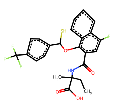 CCC(C)(NC(=O)c1cc(F)c2ccccc2c1OC(S)c1ccc(C(F)(F)F)cc1)C(=O)O